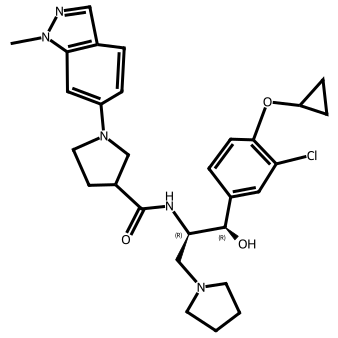 Cn1ncc2ccc(N3CCC(C(=O)N[C@H](CN4CCCC4)[C@H](O)c4ccc(OC5CC5)c(Cl)c4)C3)cc21